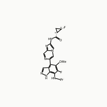 COc1c(F)c(NC(C)C)c2[nH]ncc2c1-c1cn2cc(NC(=O)[C@@H]3C[C@@H]3F)nc2cn1